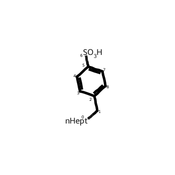 CCCCCCCCc1ccc(S(=O)(=O)O)cc1